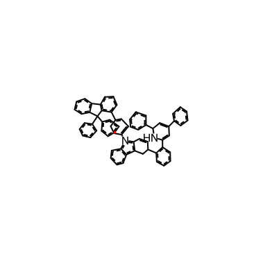 C1=CC(c2ccccc2C2=CC(c3ccccc3)=CC(c3ccccc3)N2)Cc2c1n(C1=CC=C(c3cccc4c3C(c3ccccc3)(c3ccccc3)c3ccccc3-4)CC1)c1ccccc21